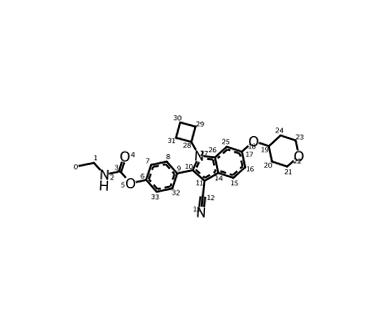 CCNC(=O)Oc1ccc(-c2c(C#N)c3ccc(OC4CCOCC4)cc3n2C2CCC2)cc1